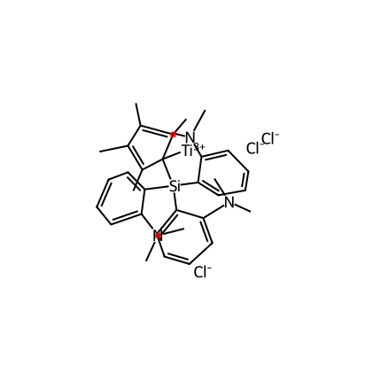 CC1=C(C)[C]([Ti+3])([Si](c2ccccc2N(C)C)(c2ccccc2N(C)C)c2ccccc2N(C)C)C(C)=C1C.[Cl-].[Cl-].[Cl-]